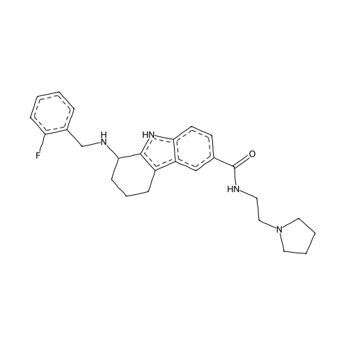 O=C(NCCN1CCCC1)c1ccc2[nH]c3c(c2c1)CCCC3NCc1ccccc1F